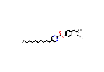 CCCCCCCCCCc1cnc(C(=O)Oc2ccc(C[C@@H](C)CC)cc2)nc1